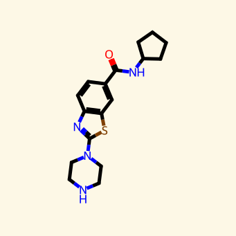 O=C(NC1CCCC1)c1ccc2nc(N3CCNCC3)sc2c1